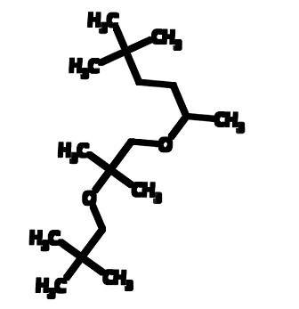 CC(CCC(C)(C)C)OCC(C)(C)OCC(C)(C)C